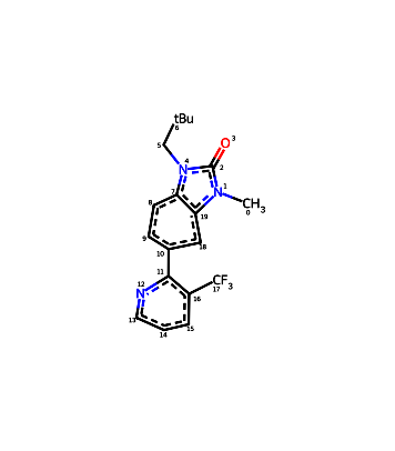 Cn1c(=O)n(CC(C)(C)C)c2ccc(-c3ncccc3C(F)(F)F)cc21